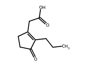 CCCC1=C(CC(=O)O)CCC1=O